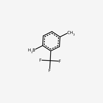 Bc1ccc(C)cc1C(F)(F)F